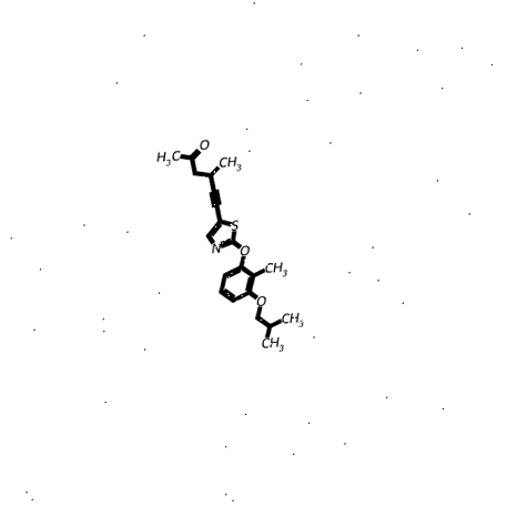 CC(=O)CC(C)C#Cc1cnc(Oc2cccc(OCC(C)C)c2C)s1